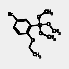 CCOc1ccc(Br)cc1[Si](OC)(OC)OC